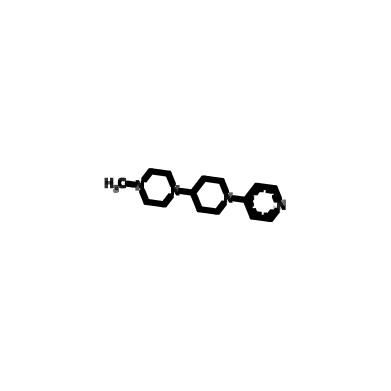 CN1CCN(C2CCN(c3ccncc3)CC2)CC1